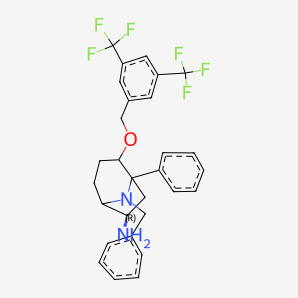 N[C@@H]1CC2(c3ccccc3)C(OCc3cc(C(F)(F)F)cc(C(F)(F)F)c3)CCC1N2Cc1ccccc1